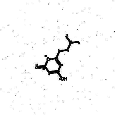 CC(C)CCc1cc(O)cc(=O)o1